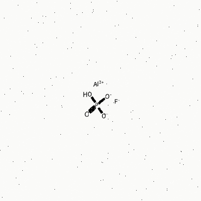 O=P([O-])([O-])O.[Al+3].[F-]